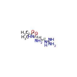 C=C(C)C(=O)NC(=O)[C@@H](N)CCCNC(=N)N